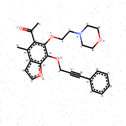 CC(=O)c1c(OCCN2CCOCC2)c(OCC#Cc2ccccc2)c2occc2c1C